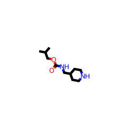 CC(C)COC(=O)NCC1CCNCC1